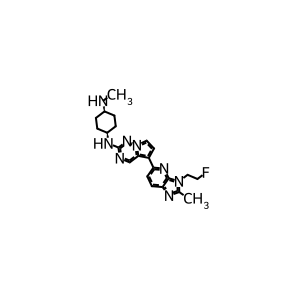 CN[C@H]1CC[C@@H](Nc2ncc3c(-c4ccc5nc(C)n(CCF)c5n4)ccn3n2)CC1